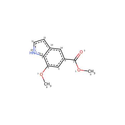 COC(=O)c1cc(OC)c2[nH]ccc2c1